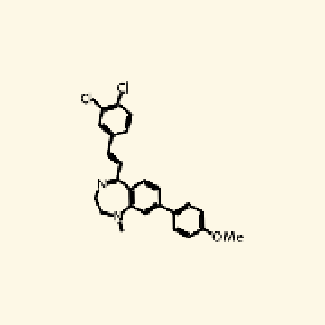 COc1ccc(-c2ccc3c(c2)N(C)CCN=C3C=Cc2ccc(Cl)c(Cl)c2)cc1